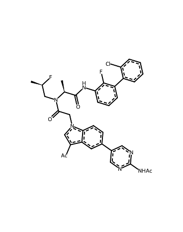 CC(=O)Nc1ncc(-c2ccc3c(c2)c(C(C)=O)cn3CC(=O)N(C[C@@H](C)F)[C@@H](C)C(=O)Nc2cccc(-c3ccccc3Cl)c2F)cn1